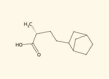 C[C@H](CCC1CC2CCC1C2)C(=O)O